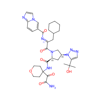 CC(C)(O)c1cnnn1[C@H]1C[C@@H](C(=O)NC2(C(=O)C(N)=O)CCOCC2)N(C(=O)/C(CC2CCCCC2)=N/C(=O)c2ccc3nccn3c2)C1